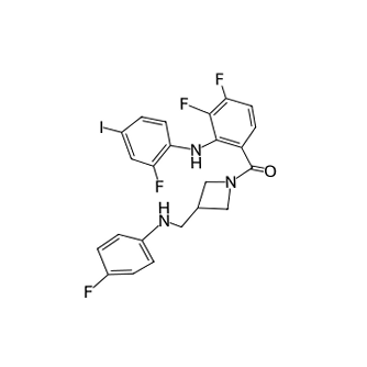 O=C(c1ccc(F)c(F)c1Nc1ccc(I)cc1F)N1CC(CNc2ccc(F)cc2)C1